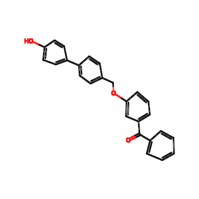 O=C(c1ccccc1)c1cccc(OCc2ccc(-c3ccc(O)cc3)cc2)c1